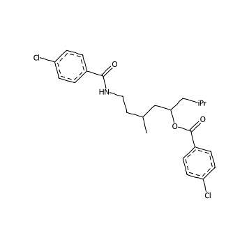 CC(C)CC(CC(C)CCNC(=O)c1ccc(Cl)cc1)OC(=O)c1ccc(Cl)cc1